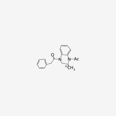 CC(=O)N1c2ccccc2N(C(=O)Cc2ccccc2)C[C@@H]1C